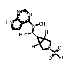 CCS(=O)(=O)N1C[C@@H]2[C@H](C1)[C@@H]2[C@@H](C)N(C)c1ncnc2[nH]ccc12